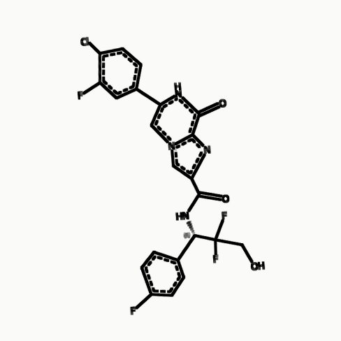 O=C(N[C@@H](c1ccc(F)cc1)C(F)(F)CO)c1cn2cc(-c3ccc(Cl)c(F)c3)[nH]c(=O)c2n1